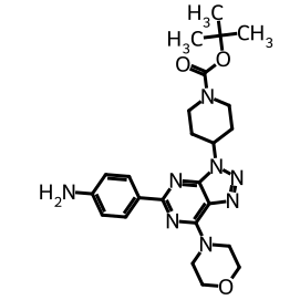 CC(C)(C)OC(=O)N1CCC(n2nnc3c(N4CCOCC4)nc(-c4ccc(N)cc4)nc32)CC1